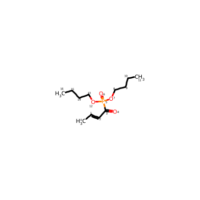 C/C=C/C(=O)P(=O)(OCCCC)OCCCC